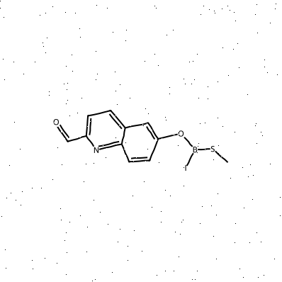 CSB(I)Oc1ccc2nc(C=O)ccc2c1